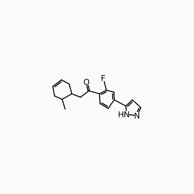 CC1CC=CCC1CC(=O)c1ccc(-c2ccn[nH]2)cc1F